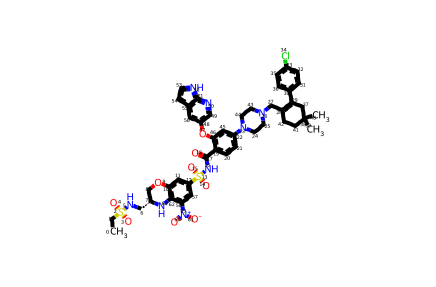 CCS(=O)(=O)NC[C@@H]1COc2cc(S(=O)(=O)NC(=O)c3ccc(N4CCN(CC5=C(c6ccc(Cl)cc6)CC(C)(C)CC5)CC4)cc3Oc3cnc4[nH]ccc4c3)cc([N+](=O)[O-])c2N1